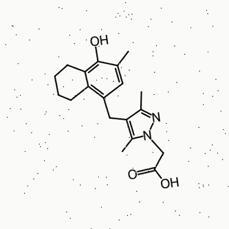 Cc1cc(Cc2c(C)nn(CC(=O)O)c2C)c2c(c1O)CCCC2